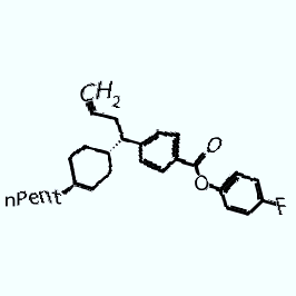 C=CCC(c1ccc(C(=O)Oc2ccc(F)cc2)cc1)[C@H]1CC[C@H](CCCCC)CC1